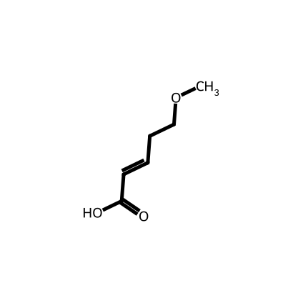 COCC/C=C/C(=O)O